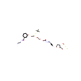 CSS[C@@H](F)O[C@@H]1C[C@H](BC#CCNC(=O)COCCOC(COc2cccc(C(=O)NCCN)c2)SSC(C)(C)C)OC1CO